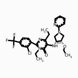 CCO[C@H]1CN(c2ccccn2)C[C@H]1Nc1c(CC)nc(-c2ccc(C(F)(F)F)cc2Cl)n(CC)c1=O